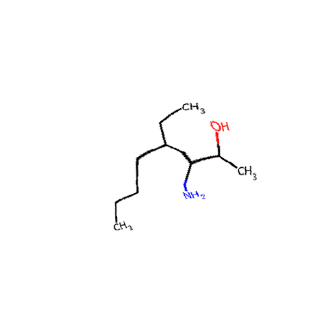 CCCCC(CC)C(N)C(C)O